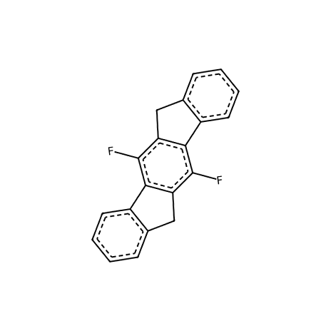 Fc1c2c(c(F)c3c1-c1ccccc1C3)-c1ccccc1C2